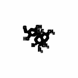 C=C1CC[C@H]2C(C)(C)[C@@H](Br)CC[C@]2(Cc2cc(O)c(C=O)cc2O)[C@@H]1C